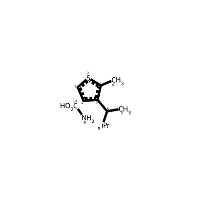 Cc1sccc1C(C)C(C)C.NC(=O)O